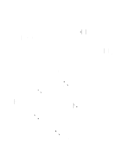 COC1C(O)[C@@H](CO)O[C@H]1n1cnc2c(N)nc(F)nc21